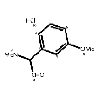 CNC(C=O)c1cccc(OC)c1.Cl